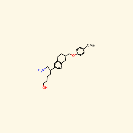 COc1ccc(OC[C@@H]2CCc3cc([C@H](CN)CCCCO)ccc3C2)cc1